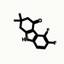 CC1(C)CC(=O)c2c([nH]c3ccc(F)c(F)c23)C1